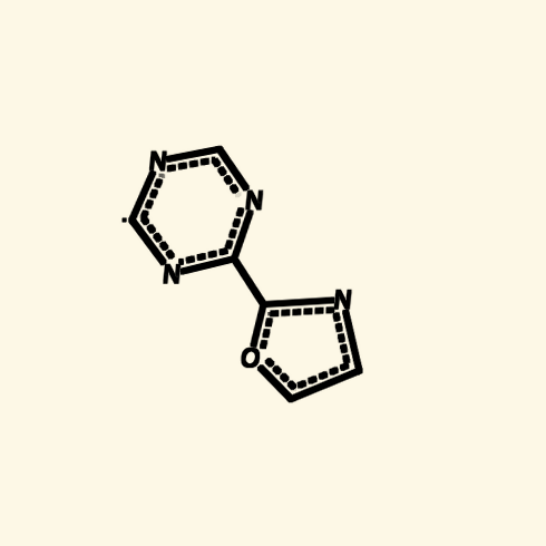 [c]1ncnc(-c2ncco2)n1